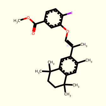 COC(=O)c1ccc(I)c(O/C=C(\C)c2cc3c(cc2C)C(C)(C)CCC3(C)C)c1